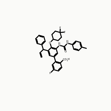 C=CC(c1ccccc1)c1cc(-c2cc(F)ccc2C(=O)O)cc(NC(=O)Nc2ccc(C)cc2)c1OC1CCC(F)(F)CC1